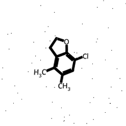 Cc1cc(Cl)c2c(c1C)CCO2